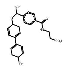 CCCC(OC1C=CC(C2=CCC(C(C)C)C=C2)=CC1)c1ccc(C(=O)NCCC(=O)O)cc1